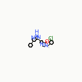 C[C@@H](c1cccc(Cl)c1)N1CCn2cc(-c3n[nH]c4ncc(-c5ccccc5)cc34)cc2C1=O